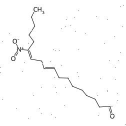 CCCCC/C(=C\C/C=C/CCCCCCC[C]=O)[N+](=O)[O-]